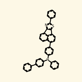 c1ccc(-c2ccc(N(c3ccccc3)c3ccc(-c4ccc5c6c(cccc46)-c4nc(-c6ccccc6)sc4-5)cc3)cc2)cc1